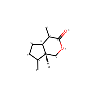 CC1C(=O)OC[C@@H]2C(C)CCC12